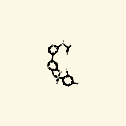 CC(=O)Nc1cc(-c2cnc3c(c2)NS(=O)(c2ccc(F)cc2F)=N3)ccn1